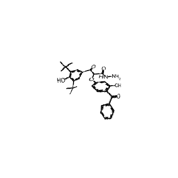 CC(C)(C)c1cc(C(=O)C(Oc2ccc(C(=O)c3ccccc3)c(O)c2)C(=O)NN)cc(C(C)(C)C)c1O